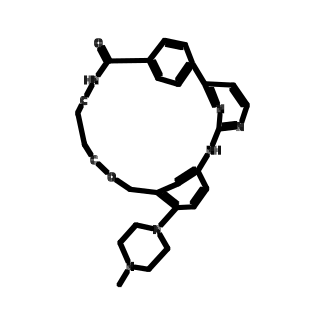 CN1CCN(c2ccc3cc2COCCCCNC(=O)c2ccc(cc2)-c2ccnc(n2)N3)CC1